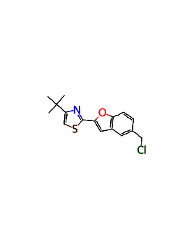 CC(C)(C)c1csc(-c2cc3cc(CCl)ccc3o2)n1